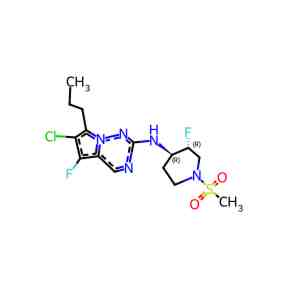 CCCc1c(Cl)c(F)c2cnc(N[C@@H]3CCN(S(C)(=O)=O)C[C@H]3F)nn12